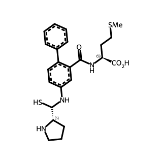 CSCC[C@H](NC(=O)c1cc(NC(S)[C@@H]2CCCN2)ccc1-c1ccccc1)C(=O)O